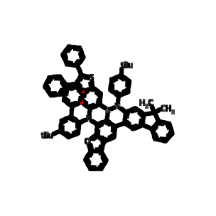 CC(C)(C)c1ccc(N2B3c4cc5sc(-c6ccccc6)c(-c6ccccc6)c5cc4N(c4ccc(C(C)(C)C)cc4-c4ccccc4)c4c3c(cc3c4oc4ccccc43)-c3cc4c(cc32)C(C)(C)c2ccccc2-4)cc1